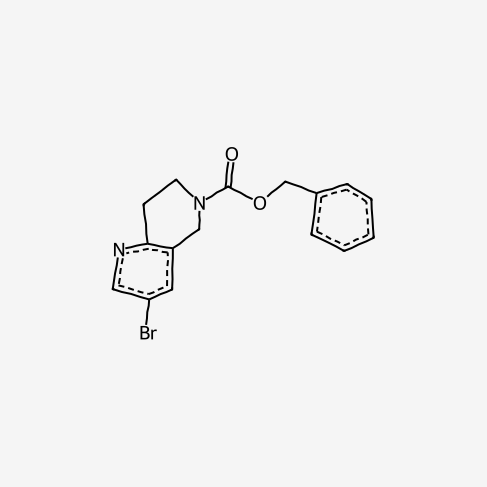 O=C(OCc1ccccc1)N1CCc2ncc(Br)cc2C1